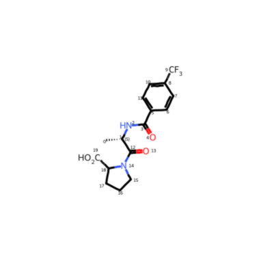 C[C@H](NC(=O)c1ccc(C(F)(F)F)cc1)C(=O)N1CCCC1C(=O)O